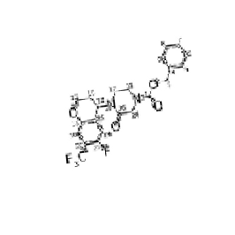 O=C(OCc1ccccc1)N1CCN(C2CCOc3cc(C(F)(F)F)c(F)cc32)C(=O)C1